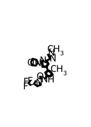 Cc1ccc(NC(=O)N2CC[C@@H](CC(F)(F)F)C2)cc1-c1cc(-c2cn(C)cn2)nc(N2CCOCC2)c1